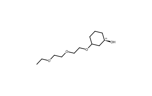 CCOCCOCCOC1CCC[C@@H](O)C1